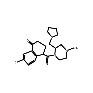 CN1CCN(C(=O)C2CCC(=O)c3cc(Cl)ccc32)C(CN2CCCC2)C1